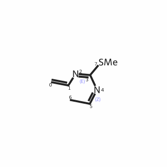 C=C/N=C(\N=C/C)SC